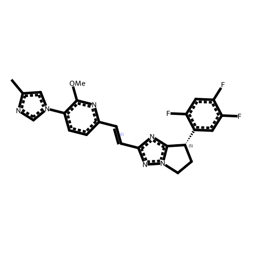 COc1nc(/C=C/c2nc3n(n2)CC[C@H]3c2cc(F)c(F)cc2F)ccc1-n1cnc(C)c1